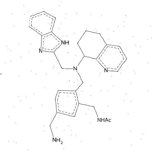 CC(=O)NCc1cc(CN)ccc1CN(Cc1nc2ccccc2[nH]1)C1CCCc2cccnc21